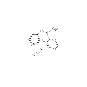 CC(C(=O)O)c1ccccn1.O=C(O)Cc1ccccn1